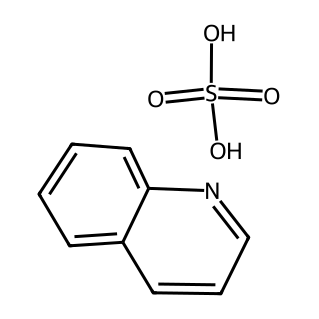 O=S(=O)(O)O.c1ccc2ncccc2c1